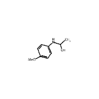 COc1ccc(NC(C)O)cc1